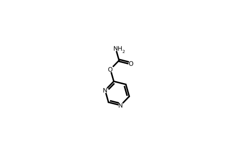 NC(=O)Oc1ccncn1